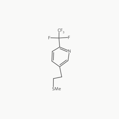 CSCCc1ccc(C(F)(F)C(F)(F)F)nc1